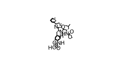 COC(=O)N[C@@H](CC(C)C)C(=O)N[C@@H](Cc1ccc(NS(=O)(=O)O)cc1)C1=NC(c2cccs2)CS1